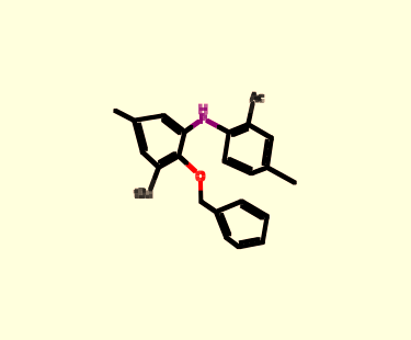 CC(=O)c1cc(C)ccc1Pc1cc(C)cc(C(C)(C)C)c1OCc1ccccc1